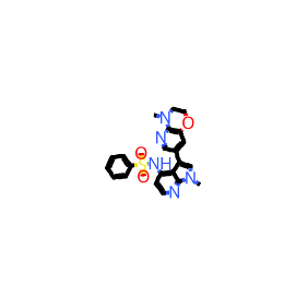 CN1CCOc2cc(-c3cn(C)c4nccc(NS(=O)(=O)c5ccccc5)c34)cnc21